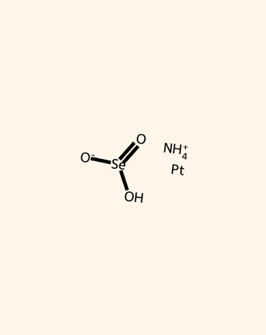 O=[Se]([O-])O.[NH4+].[Pt]